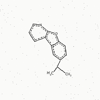 CC(C)c1ccc2oc3ncccc3c2c1